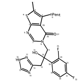 CCCCCc1c(C)sc2ncn(CC(O)(Cc3nc[nH]n3)c3ccc(F)cc3F)c(=O)c12